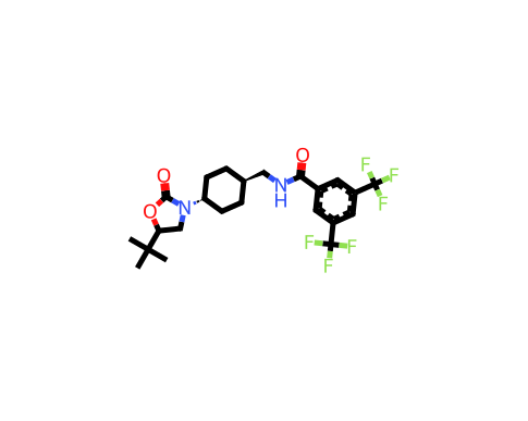 CC(C)(C)C1CN([C@H]2CC[C@H](CNC(=O)c3cc(C(F)(F)F)cc(C(F)(F)F)c3)CC2)C(=O)O1